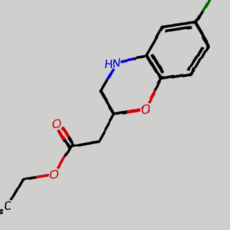 CCOC(=O)CC1CNc2cc(Br)ccc2O1